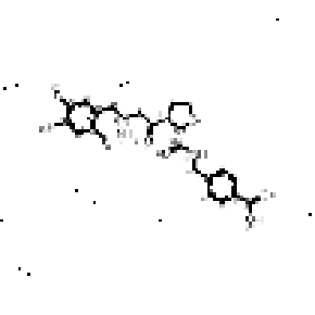 N[C@@H](CC(=O)N1CCS[C@H]1C(=O)NCc1ccc(C(=O)O)cc1)Cc1cc(F)c(F)cc1F